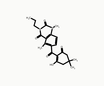 CCCn1c(=O)c2c(C)c(C(=O)C3=C(O)CC(C)(C)CC3=O)ccc2n(C)c1=O